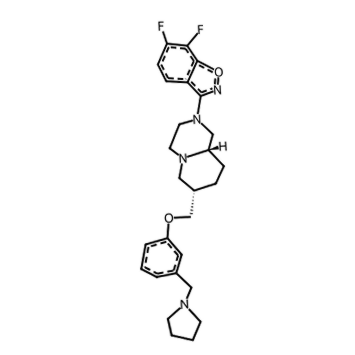 Fc1ccc2c(N3CCN4C[C@@H](COc5cccc(CN6CCCC6)c5)CC[C@H]4C3)noc2c1F